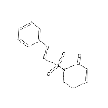 O=C1C=CCCN1S(=O)(=O)/C=C/c1ccccc1